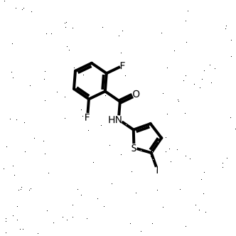 O=C(Nc1ccc(I)s1)c1c(F)cccc1F